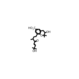 CC(CCc1cc(C(=O)O)cc2c1OC(C)(C)C(O)C2)C(=O)C=CC(C)(C)O